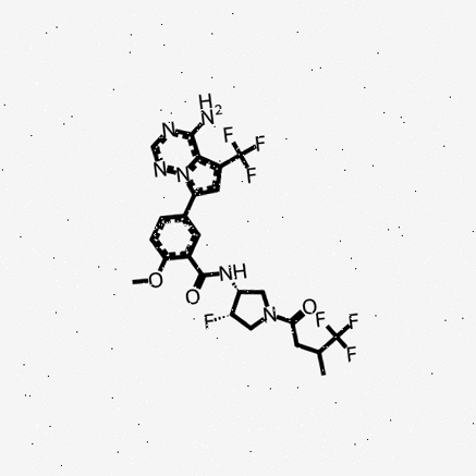 COc1ccc(-c2cc(C(F)(F)F)c3c(N)ncnn23)cc1C(=O)N[C@@H]1CN(C(=O)CC(C)C(F)(F)F)C[C@@H]1F